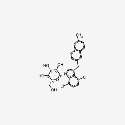 Cc1ccc2cc(Cc3cn([C@@H]4O[C@H](CO)[C@@H](O)[C@H](O)[C@H]4O)c4c(Cl)ccc(Cl)c34)ccc2c1